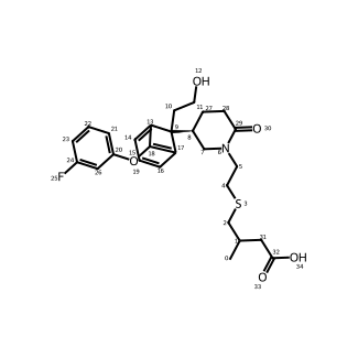 CC(CSCCN1C[C@@H](C2(CCO)C3=CC=CC2=C3Oc2cccc(F)c2)CCC1=O)CC(=O)O